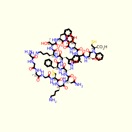 C[C@H](NC(=O)CNC(=O)CN)C(=O)NCC(=O)N[C@@H](CS)C(=O)N[C@@H](CCCCN)C(=O)N[C@@H](CC(N)=O)C(=O)N[C@@H](C)C(=O)N[C@@H](Cc1ccccc1)C(=O)N[C@@H](Cc1c[nH]c2ccccc12)C(=O)N[C@@H](CCCCN)C(=O)N[C@H](C(=O)N[C@@H](Cc1ccccc1)C(=O)N[C@H](C(=O)N[C@@H](Cc1ccccc1)C(=O)N[C@H](C(=O)N[C@@H](CO)C(=O)N(c1ccccc1)[C@@H](CS)C(=O)O)[C@@H](C)O)[C@@H](C)O)[C@@H](C)O